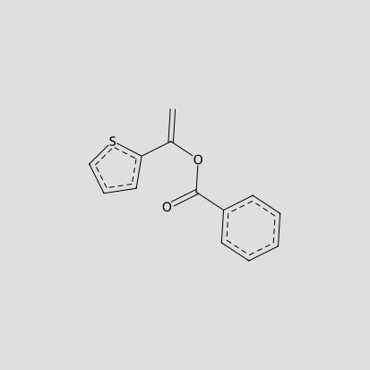 C=C(OC(=O)c1ccccc1)c1cccs1